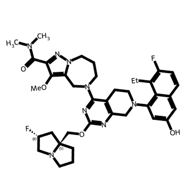 CCc1c(F)ccc2cc(O)cc(N3CCc4c(nc(OC[C@@]56CCCN5C[C@H](F)C6)nc4N4CCCn5nc(C(=O)N(C)C)c(OC)c5C4)C3)c12